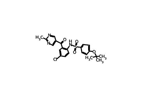 Cc1ncc(C(=O)c2cc(Cl)ccc2NS(=O)(=O)c2ccc(OC(C)(C)C)cc2)cn1